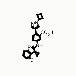 O=C(O)c1cc(NC(=O)C2(c3c(F)cccc3Cl)CC2)ccc1-c1cnn(C2CCC2)c1